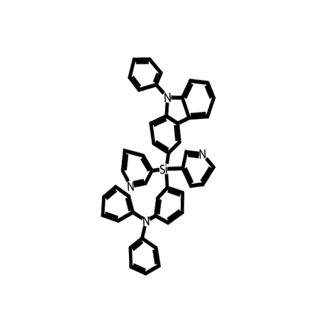 c1ccc(N(c2ccccc2)c2cccc([Si](c3cccnc3)(c3cccnc3)c3ccc4c(c3)c3ccccc3n4-c3ccccc3)c2)cc1